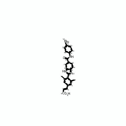 Cc1cc(C=CC(=O)O)cc(C)c1-c1nc2ccc(C(=O)Nc3ccc(C(C)(C)C)cc3)cc2[nH]1